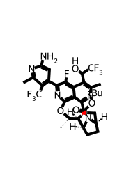 Cc1nc(N)cc(-c2nc3c4c(nc(C)c(C(O)C(F)(F)F)c4c2F)N2C[C@H]4CC[C@@H]([C@H]2[C@H](C)O3)N4C(=O)OC(C)(C)C)c1C(F)(F)F